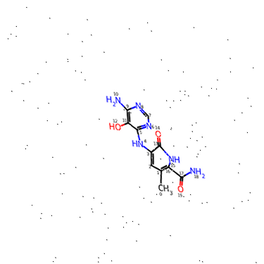 Cc1cc(Nc2ncnc(N)c2O)c(=O)[nH]c1C(N)=O